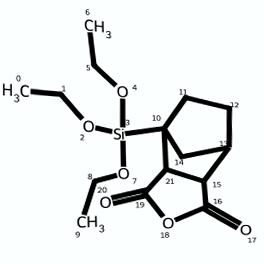 CCO[Si](OCC)(OCC)C12CCC(C1)C1C(=O)OC(=O)C12